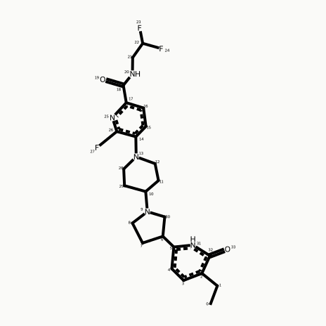 CCc1ccc(C2CCN(C3CCN(c4ccc(C(=O)NCC(F)F)nc4F)CC3)C2)[nH]c1=O